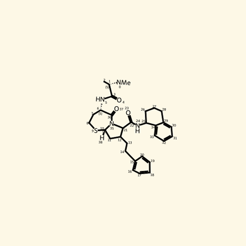 CN[C@@H](C)C(=O)N[C@H]1CCS[C@H]2CC(CCc3ccccc3)C(C(=O)NC3CCCc4ccccc43)N2C1=O